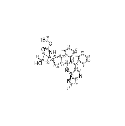 Cc1cc2ncc3c(-c4ccccc4)c(-c4ccccc4)c(-c4ccc([C@]5(NC(=O)OC(C)(C)C)C[C@](C)(O)C5)cc4)nc3n2n1